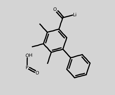 O=PO.[Li][C](=O)c1cc(-c2ccccc2)c(C)c(C)c1C